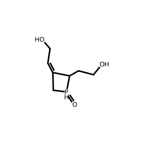 O=[PH]1CC(=CCO)C1CCO